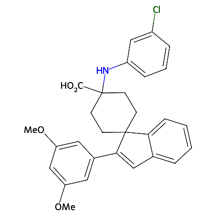 COc1cc(OC)cc(C2=Cc3ccccc3C23CCC(Nc2cccc(Cl)c2)(C(=O)O)CC3)c1